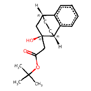 CC(C)(C)OC(=O)C[C@]1(O)C[C@H]2CC[C@@H]1c1ccccc12